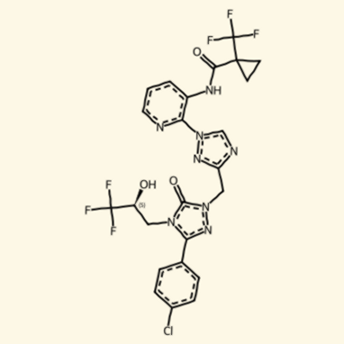 O=C(Nc1cccnc1-n1cnc(Cn2nc(-c3ccc(Cl)cc3)n(C[C@H](O)C(F)(F)F)c2=O)n1)C1(C(F)(F)F)CC1